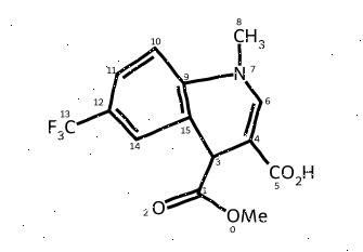 COC(=O)C1C(C(=O)O)=CN(C)c2ccc(C(F)(F)F)cc21